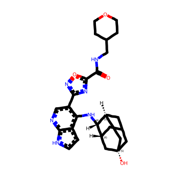 O=C(NCC1CCOCC1)c1nc(-c2cnc3[nH]ccc3c2N[C@H]2[C@@H]3CC4C[C@H]2C[C@@](O)(C4)C3)no1